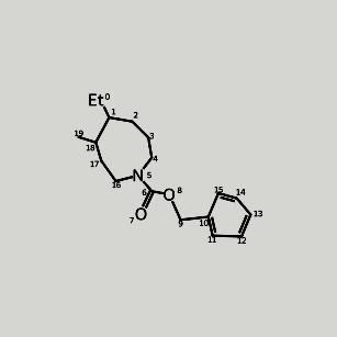 CCC1CCCN(C(=O)OCc2ccccc2)CCC1C